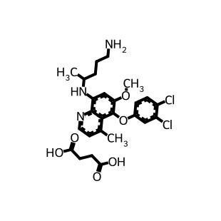 COc1cc(NC(C)CCCN)c2nccc(C)c2c1Oc1ccc(Cl)c(Cl)c1.O=C(O)CCC(=O)O